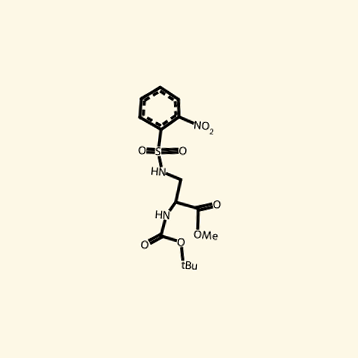 COC(=O)C(CNS(=O)(=O)c1ccccc1[N+](=O)[O-])NC(=O)OC(C)(C)C